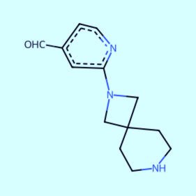 O=Cc1ccnc(N2CC3(CCNCC3)C2)c1